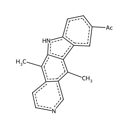 CC(=O)c1ccc2[nH]c3c(C)c4ccncc4c(C)c3c2c1